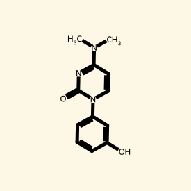 CN(C)c1ccn(-c2cccc(O)c2)c(=O)n1